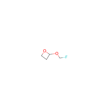 FCOC1CCO1